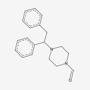 O=[C]N1CCN(C(Cc2ccccc2)c2ccccc2)CC1